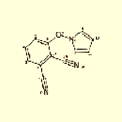 N#Cc1cccc(On2c[c]cc2)c1C#N